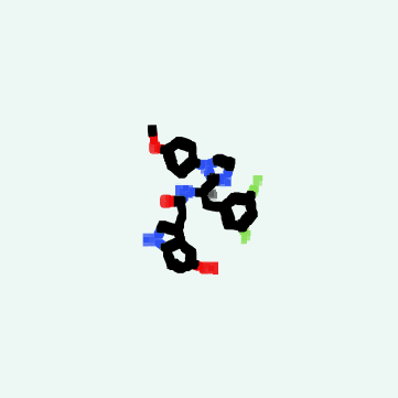 COc1ccc(-n2ccnc2[C@@H](Cc2cc(F)cc(F)c2)NC(=O)Cc2c[nH]c3ccc(O)cc23)cc1